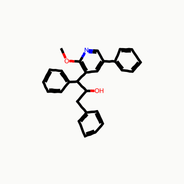 COc1ncc(-c2ccccc2)cc1C(c1ccccc1)C(O)Cc1ccccc1